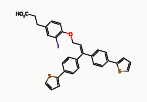 O=C(O)CCc1ccc(OCC=C(c2ccc(-c3cccs3)cc2)c2ccc(-c3cccs3)cc2)c(I)c1